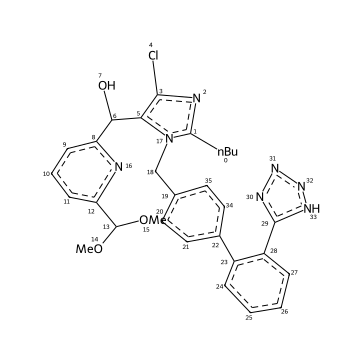 CCCCc1nc(Cl)c(C(O)c2cccc(C(OC)OC)n2)n1Cc1ccc(-c2ccccc2-c2nnn[nH]2)cc1